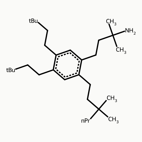 CCCC(C)(C)CCc1cc(CCC(C)(C)C)c(CCC(C)(C)C)cc1CCC(C)(C)N